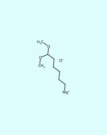 COC(CCCC[CH2][Mg+])OC.[Cl-]